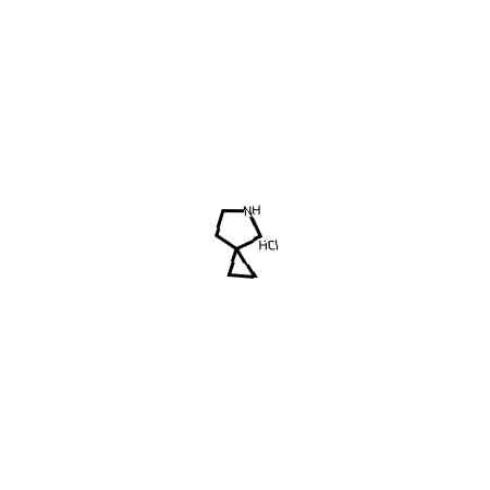 C1CC2(CC2)CN1.Cl